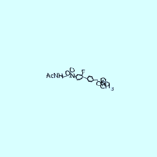 CC(=O)NCC1CN(c2ccc(-c3ccc(COS(C)(=O)=O)cc3)c(F)c2)C(=O)O1